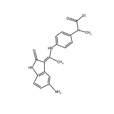 CCC(=O)N(C)c1ccc(N/C(C)=C2\C(=O)Nc3ccc(N)cc32)cc1